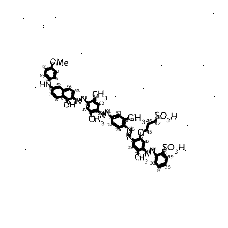 COc1ccc(Nc2ccc3c(O)c(N=Nc4cc(C)c(N=Nc5ccc(N=Nc6cc(C)c(N=Nc7ccccc7S(=O)(=O)O)cc6OCCCS(=O)(=O)O)c(C)c5)cc4C)ccc3c2)cc1